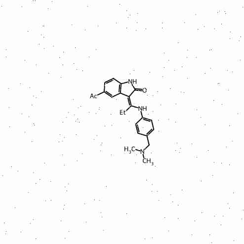 CC/C(Nc1ccc(CN(C)C)cc1)=C1/C(=O)Nc2ccc(C(C)=O)cc21